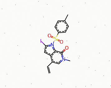 C=Cc1cn(C)c(=O)c2c1cc(I)n2S(=O)(=O)c1ccc(C)cc1